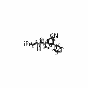 CC(C)CCNC(=O)n1cnc2c(N3CCOCC3)cc(C#N)cc21